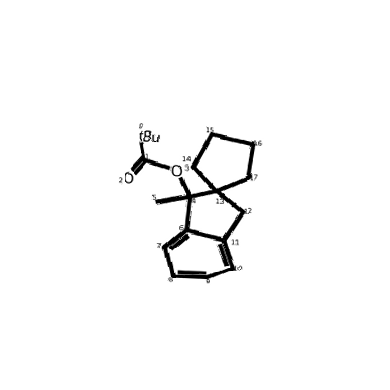 CC(C)(C)C(=O)OC1(C)c2ccccc2CC12CCCC2